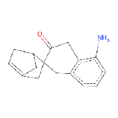 Nc1cccc2c1CC(=O)C1(CC3=CCC1C3)C2